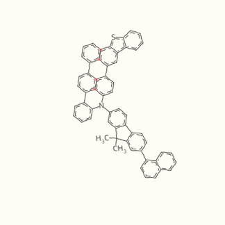 CC1(C)c2cc(-c3cccc4ccccc34)ccc2-c2ccc(N(c3ccc(-c4ccc5sc6ccccc6c5c4)cc3)c3ccccc3-c3ccc(-c4ccccc4)cc3)cc21